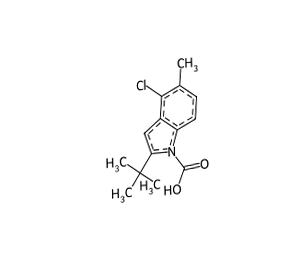 Cc1ccc2c(cc(C(C)(C)C)n2C(=O)O)c1Cl